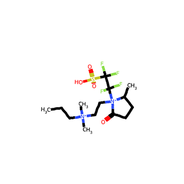 CCC[N+](C)(C)CC[N+]1(C(F)(F)C(F)(F)S(=O)(=O)O)C(=O)CCC1C